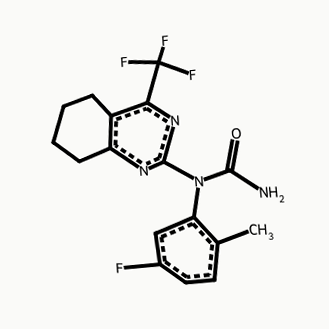 Cc1ccc(F)cc1N(C(N)=O)c1nc2c(c(C(F)(F)F)n1)CCCC2